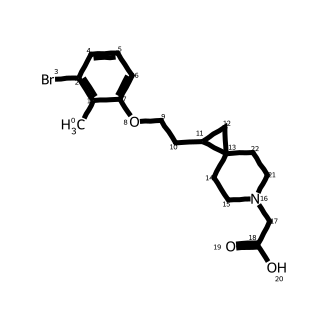 Cc1c(Br)cccc1OCCC1CC12CCN(CC(=O)O)CC2